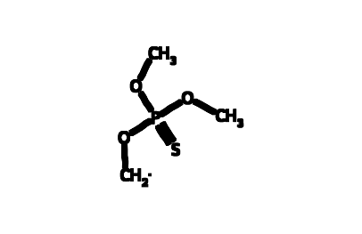 [CH2]OP(=S)(OC)OC